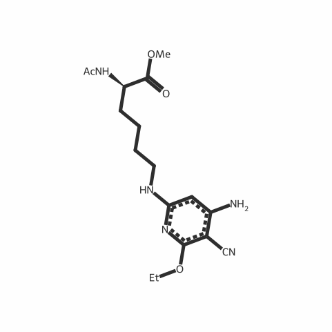 CCOc1nc(NCCCC[C@@H](NC(C)=O)C(=O)OC)cc(N)c1C#N